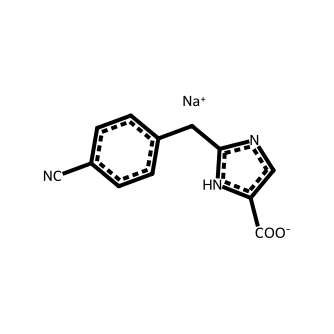 N#Cc1ccc(Cc2ncc(C(=O)[O-])[nH]2)cc1.[Na+]